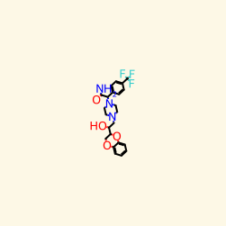 NC(=O)C(c1ccc(C(F)(F)F)cc1)N1CCN(CC(O)C2COc3ccccc3O2)CC1